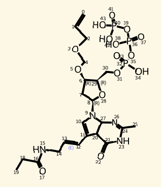 C=CCOCO[C@@H]1C[C@H](N2C=C(/C=C/CNC(=O)CC)C3C(=O)NC(C)=NC32)O[C@@H]1COP(=O)(O)OP(=O)(O)OP(=O)(O)O